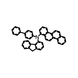 c1ccc(-c2ccc(N(c3cccc4c3-c3ccccc3C4)c3cccc4c3ccc3c5ccccc5ccc43)cc2)cc1